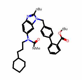 CCCCc1nc2ccc(N(CCCC3CCCCC3)C(=O)NC)cc2n1Cc1ccc(-c2ccccc2C(=O)OC(C)(C)C)cc1